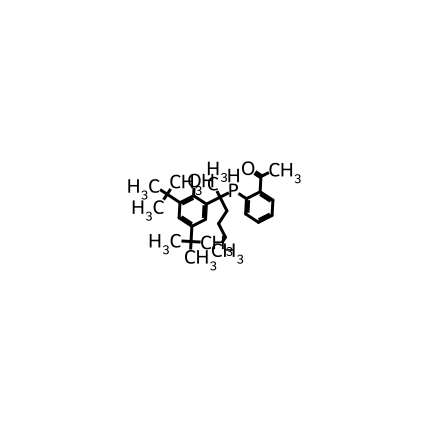 CCCCC(C)(Pc1ccccc1C(C)=O)c1cc(C(C)(C)C)cc(C(C)(C)C)c1O